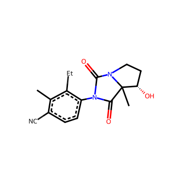 CCc1c(N2C(=O)N3CC[C@H](O)C3(C)C2=O)ccc(C#N)c1C